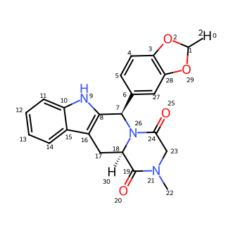 [2H]C1Oc2ccc([C@@H]3c4[nH]c5ccccc5c4C[C@@H]4C(=O)N(C)CC(=O)N34)cc2O1